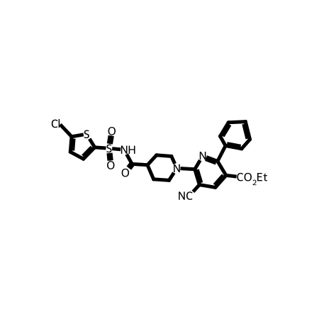 CCOC(=O)c1cc(C#N)c(N2CCC(C(=O)NS(=O)(=O)c3ccc(Cl)s3)CC2)nc1-c1ccccc1